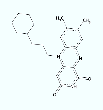 Cc1cc2nc3c(=O)[nH]c(=O)cc-3n(CCCC3CCCCC3)c2cc1C